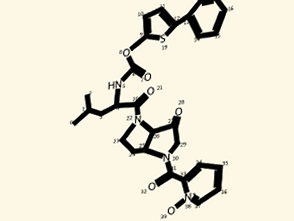 CC(C)CC(NC(=O)Oc1ccc(-c2ccccc2)s1)C(=O)N1CCC2C1C(=O)CN2C(=O)c1cccc[n+]1[O-]